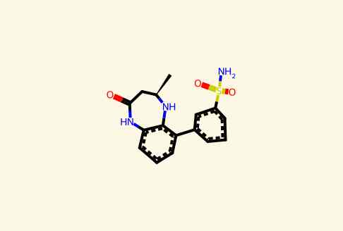 C[C@@H]1CC(=O)Nc2cccc(-c3cccc(S(N)(=O)=O)c3)c2N1